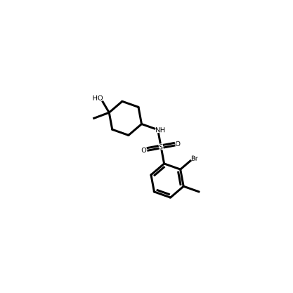 Cc1cccc(S(=O)(=O)NC2CCC(C)(O)CC2)c1Br